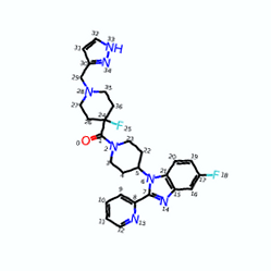 O=C(N1CCC(n2c(-c3ccccn3)nc3cc(F)ccc32)CC1)C1(F)CCN(Cc2cc[nH]n2)CC1